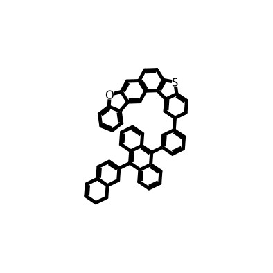 C1=CC2=CC=C(c3c4ccccc4c(-c4cccc(C5C=c6c(sc7ccc8cc9oc%10ccccc%10c9cc8c67)=CC5)c4)c4ccccc34)CC2CC1